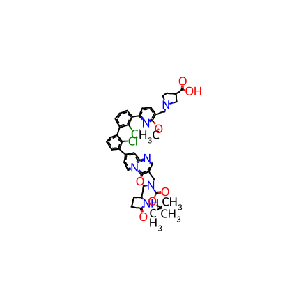 COc1nc(-c2cccc(-c3cccc(-c4ccn5c(=O)c(CN(CC6CCC(=O)N6)C(=O)OC(C)(C)C)cnc5c4)c3Cl)c2Cl)ccc1CN1CCC(C(=O)O)C1